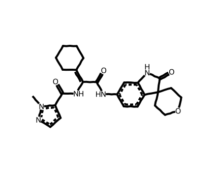 Cn1nccc1C(=O)NC(C(=O)Nc1ccc2c(c1)NC(=O)C21CCOCC1)=C1CCCCC1